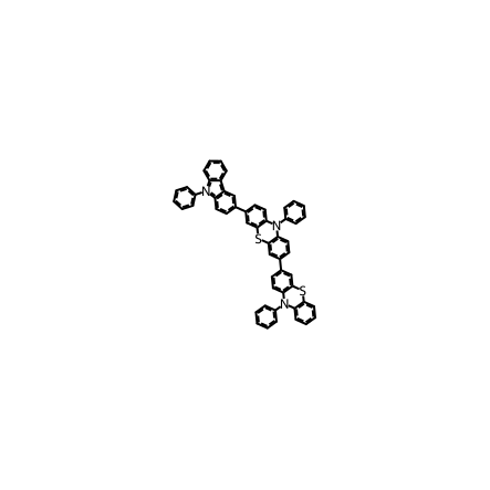 c1ccc(N2c3ccccc3Sc3cc(-c4ccc5c(c4)Sc4cc(-c6ccc7c(c6)c6ccccc6n7-c6ccccc6)ccc4N5c4ccccc4)ccc32)cc1